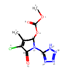 COC(=O)OC1C(C)=C(Cl)C(=O)N1c1nnn[nH]1